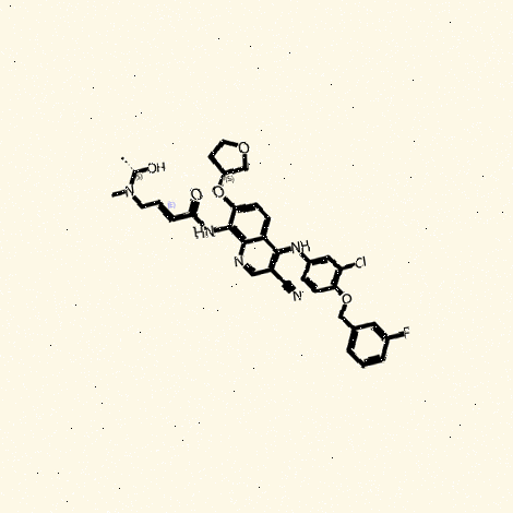 C[C@H](O)N(C)C/C=C/C(=O)Nc1c(O[C@H]2CCOC2)ccc2c(Nc3ccc(OCc4cccc(F)c4)c(Cl)c3)c(C#N)cnc12